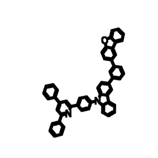 c1ccc(-c2cc(-c3ccccc3)nc(-c3ccc(-n4c5ccccc5c5cc(-c6cccc(-c7ccc8oc9ccccc9c8c7)c6)ccc54)cc3)c2)cc1